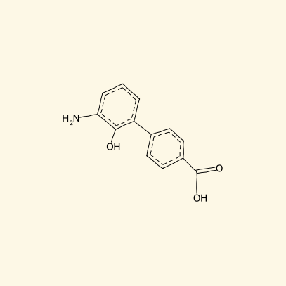 Nc1cccc(-c2ccc(C(=O)O)cc2)c1O